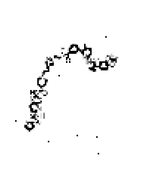 Cc1ccc(NC(=O)C2(c3ccc4c(c3)OC(F)(F)O4)CC2)nc1-c1cccc(C(=O)NCCn2cc(CCN3CCC(C(=O)Nc4nc5ccc(NS(=O)(=O)c6cccs6)nc5s4)CC3)cn2)c1